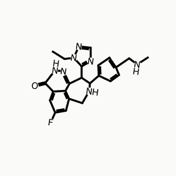 CCn1ncnc1C1c2n[nH]c(=O)c3cc(F)cc(c23)CNC1c1ccc(CNC)cc1